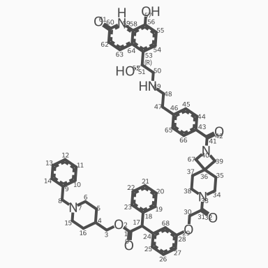 O=C(OCC1CCN(Cc2ccccc2)CC1)C(c1ccccc1)c1cccc(OCC(=O)N2CCC3(CC2)CN(C(=O)c2ccc(CCNC[C@H](O)c4ccc(O)c5[nH]c(=O)ccc45)cc2)C3)c1